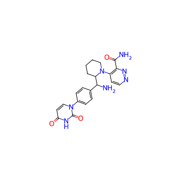 NC(=O)c1nnccc1N1CCCCC1C(N)c1ccc(-n2ccc(=O)[nH]c2=O)cc1